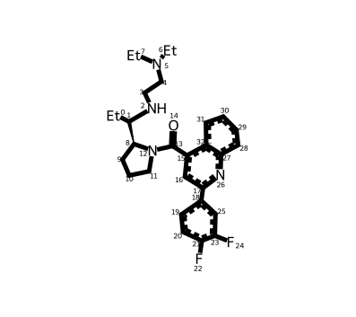 CCC(NCCN(CC)CC)[C@@H]1CCCN1C(=O)c1cc(-c2ccc(F)c(F)c2)nc2ccccc12